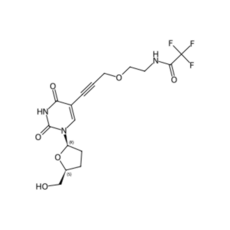 O=C(NCCOCC#Cc1cn([C@H]2CC[C@@H](CO)O2)c(=O)[nH]c1=O)C(F)(F)F